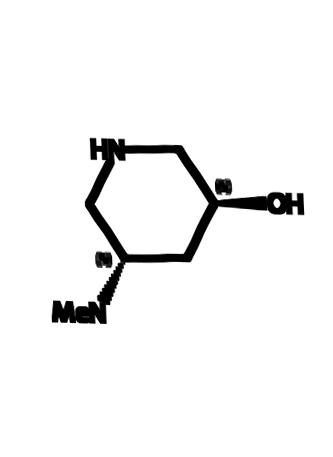 CN[C@@H]1CNC[C@@H](O)C1